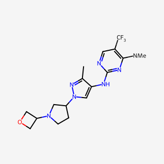 CNc1nc(Nc2cn(C3CCN(C4COC4)C3)nc2C)ncc1C(F)(F)F